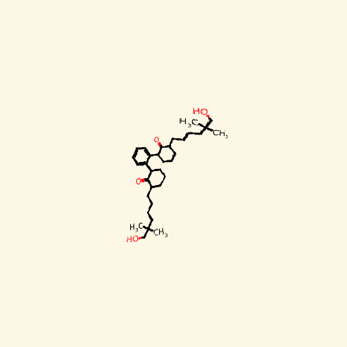 CC(C)(CO)CCCCC1CCCC(c2ccccc2C2CCCC(CCCCC(C)(C)CO)C2=O)C1=O